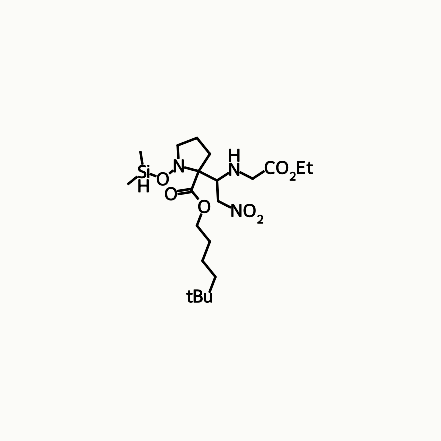 CCOC(=O)CNC(C[N+](=O)[O-])C1(C(=O)OCCCCC(C)(C)C)CCCN1O[SiH](C)C